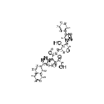 COC1C(SC2COCC(n3cc(-c4ccccc4)nn3)C2O)OC(CO)C(O)C1n1cc(-c2ccc3ccccc3c2)nn1